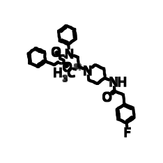 C[C@H](CN(c1ccccc1)S(=O)(=O)Cc1ccccc1)N1CCC(NC(=O)Cc2ccc(F)cc2)CC1